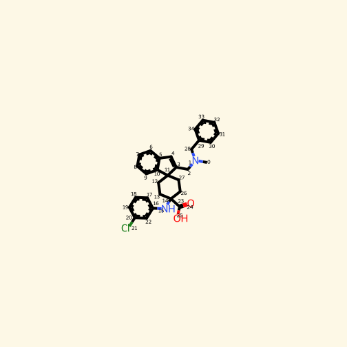 CN(CC1=Cc2ccccc2C12CCC(Nc1cccc(Cl)c1)(C(=O)O)CC2)Cc1ccccc1